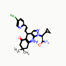 CC1(C)CC(=O)C2=C(C1)Nc1c(cnn1C(C(N)=O)C1CC1)C2C=Cc1ccc(Br)cn1